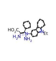 CCn1c2ccccc2c2cc(N(N)/C(=C(\N)C(=O)O)c3ccccc3)ccc21